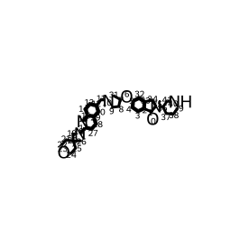 O=C1c2ccc(O[C@H]3CCN(Cc4ccc5nc(N6CC7(CCOCC7)C6)ccc5c4)C3)cc2CN1C1CCCNC1